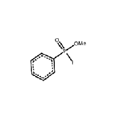 COP(=O)(I)c1ccccc1